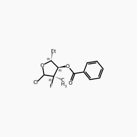 CC[C@H]1OC(Cl)[C@](C)(F)[C@@H]1OC(=O)c1ccccc1